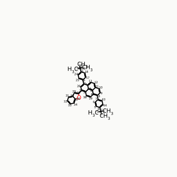 CC(C)(C)c1ccc(-c2ccc3ccc4c(-c5ccc(C(C)(C)C)cc5)cc(-c5cc6ccccc6o5)c5ccc2c3c45)cc1